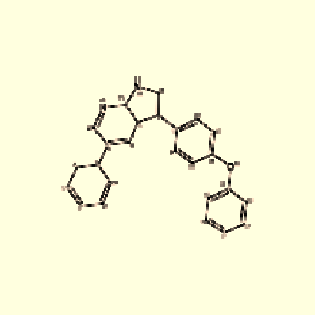 C1=CCC(C2=CC3C(c4ccc(Oc5ccccc5)cc4)=CNC3N=C2)C=C1